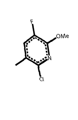 COc1nc(Cl)c(C)cc1F